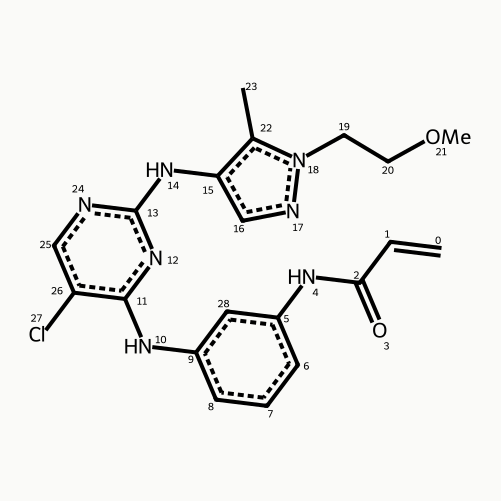 C=CC(=O)Nc1cccc(Nc2nc(Nc3cnn(CCOC)c3C)ncc2Cl)c1